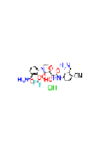 Cl.N#Cc1ccc(NC(=O)C(O)C2OCCN(c3cccc(C(N)=O)c3OC(F)F)C2=O)cc1CN